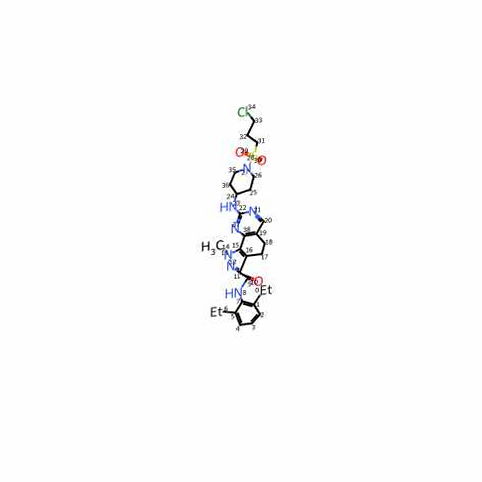 CCc1cccc(CC)c1NC(=O)c1nn(C)c2c1CCc1cnc(NC3CCN(S(=O)(=O)CCCCl)CC3)nc1-2